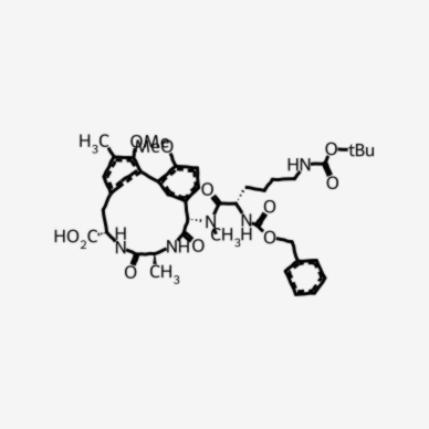 COc1ccc2cc1-c1cc(cc(C)c1OC)C[C@@H](C(=O)O)NC(=O)[C@H](C)NC(=O)[C@H]2N(C)C(=O)[C@H](CCCCNC(=O)OC(C)(C)C)NC(=O)OCc1ccccc1